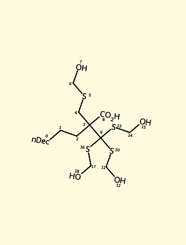 CCCCCCCCCCCCC(CSCO)(C(=O)O)C(SCO)(SCO)SCO